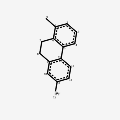 Cc1cccc2c1CCc1cc(C(C)C)ccc1-2